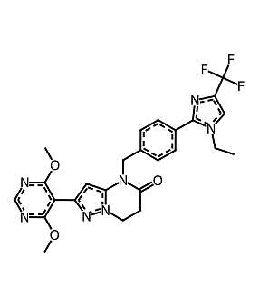 CCn1cc(C(F)(F)F)nc1-c1ccc(CN2C(=O)CCn3nc(-c4c(OC)ncnc4OC)cc32)cc1